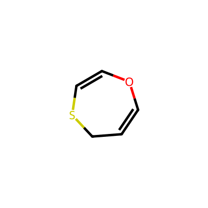 C1=COC=CSC1